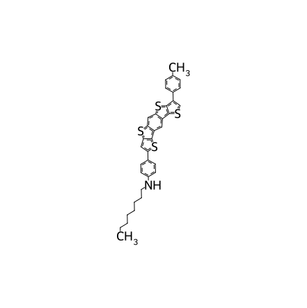 CCCCCCCCNc1ccc(-c2cc3sc4cc5sc6c(-c7ccc(C)cc7)csc6c5cc4c3s2)cc1